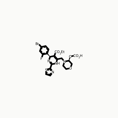 CCOC(=O)C1=C(CN2CCOC[C@@H]2OC(=O)O)NC(c2nccs2)=N[C@H]1c1ccc(Br)cc1F